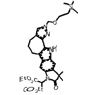 CCOC(=O)C(C(=O)OCC)N1C(=O)C(C)(C)c2cc3[nH]c4c(c3cc21)CCCc1cn(COCC[Si](C)(C)C)nc1-4